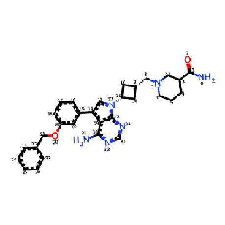 NC(=O)C1CCCN(C[C@H]2C[C@@H](n3cc(-c4cccc(OCc5ccccc5)c4)c4c(N)ncnc43)C2)C1